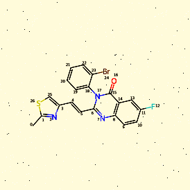 Cc1nc(C=Cc2nc3ccc(F)cc3c(=O)n2-c2ccccc2Br)cs1